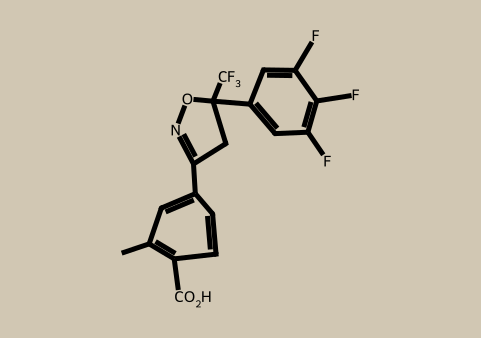 Cc1cc(C2=NOC(c3cc(F)c(F)c(F)c3)(C(F)(F)F)C2)ccc1C(=O)O